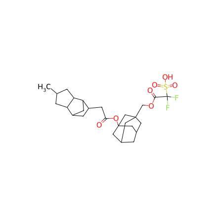 CC1CC2C3CC(CC(=O)OC45CC6CC(CC(COC(=O)C(F)(F)S(=O)(=O)O)(C6)C4)C5)C(C3)C2C1